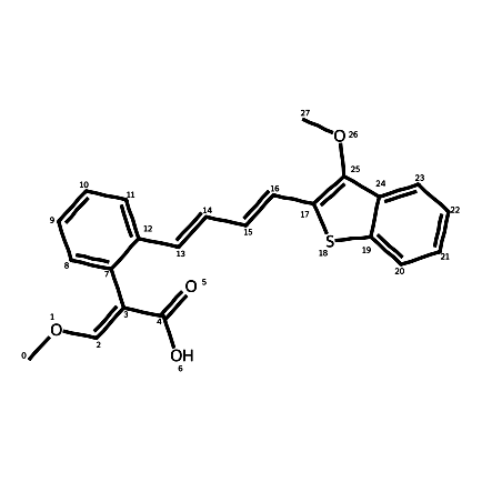 CO/C=C(/C(=O)O)c1ccccc1C=C/C=C/c1sc2ccccc2c1OC